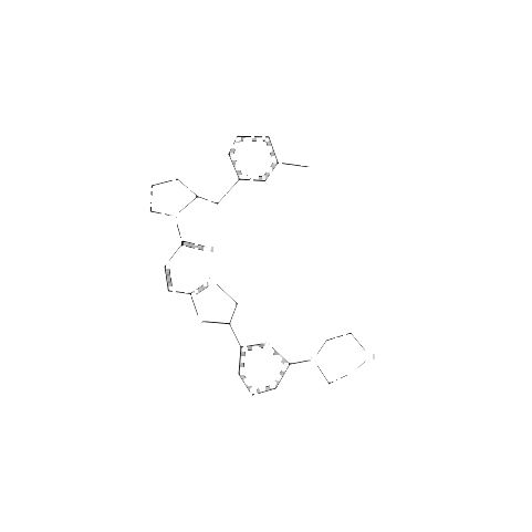 N=C(/C=C\C1=NCC(c2cccc(N3CCNCC3)n2)N1)N1CCCC1Cc1cccc(F)c1